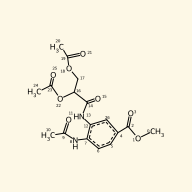 COC(=O)c1ccc(NC(C)=O)c(NC(=O)C(COC(C)=O)OC(C)=O)c1